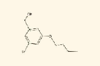 CCCCOc1cc(Br)cc(CO)c1